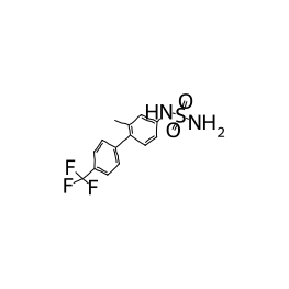 Cc1cc(NS(N)(=O)=O)ccc1-c1ccc(C(F)(F)F)cc1